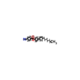 CCCCCCCC1CCC(c2ccc(OC(=O)c3ccc(C#N)cc3)cc2)CC1